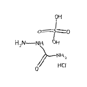 Cl.NNC(N)=O.O=S(=O)(O)O